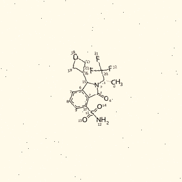 C[C@H](N1C(=O)c2c(cccc2S(N)(=O)=O)C1C1COC1)C(F)(F)F